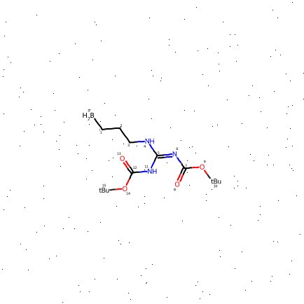 BCCCN/C(=N/C(=O)OC(C)(C)C)NC(=O)OC(C)(C)C